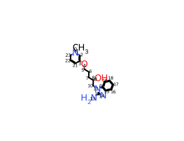 CN1C=C(OCCCC(O)Cn2c(N)nc3ccccc32)C=CC1